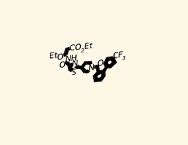 CCOC(=O)/C=C(\NC(=O)c1csc(C2CCN(C(=O)c3ccccc3-c3ccc(C(F)(F)F)cc3)CC2)n1)OCC